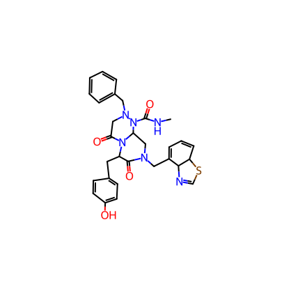 CNC(=O)N1C2CN(CC3=CC=CC4SC=NC34)C(=O)C(Cc3ccc(O)cc3)N2C(=O)CN1Cc1ccccc1